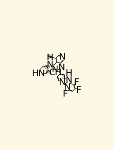 C[C@@H]1CNCC[C@@H]1Nc1nc(-c2ccnc(Nc3nc(F)cc(F)c3F)c2)nc2cncc(C3CC3)c12